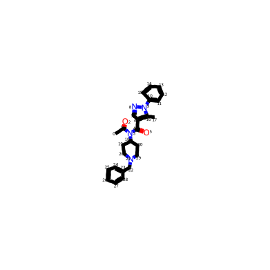 CC(=O)N(C(=O)c1cnn(-c2ccccc2)c1C)C1CCN(Cc2ccccc2)CC1